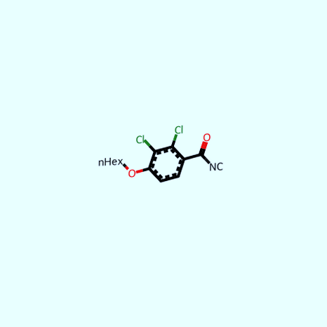 [C-]#[N+]C(=O)c1ccc(OCCCCCC)c(Cl)c1Cl